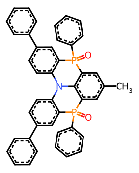 Cc1cc2c3c(c1)P(=O)(c1ccccc1)c1cc(-c4ccccc4)ccc1N3c1ccc(-c3ccccc3)cc1P2(=O)c1ccccc1